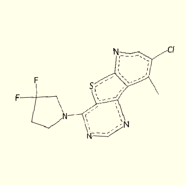 Cc1c(Cl)cnc2sc3c(N4CCC(F)(F)C4)ncnc3c12